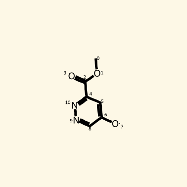 COC(=O)c1cc([O])cnn1